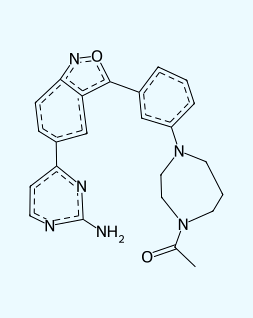 CC(=O)N1CCCN(c2cccc(-c3onc4ccc(-c5ccnc(N)n5)cc34)c2)CC1